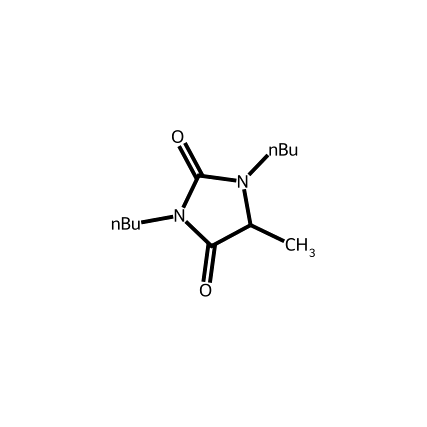 CCCCN1C(=O)C(C)N(CCCC)C1=O